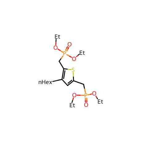 CCCCCCc1cc(CP(=O)(OCC)OCC)sc1CP(=O)(OCC)OCC